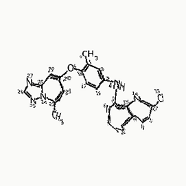 Cc1cc(Nc2ncnc3ccc(Cl)nc23)ccc1Oc1cc(C)n2ncnc2c1